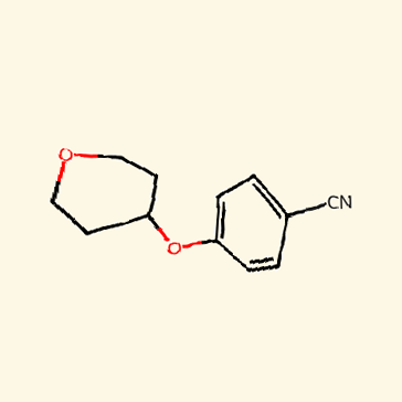 N#Cc1ccc(OC2CCOCC2)cc1